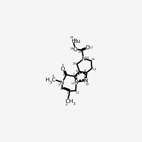 CC1=CN(C)C(=O)c2c3c(nn2C1)CCN(C(=O)OC(C)(C)C)C3